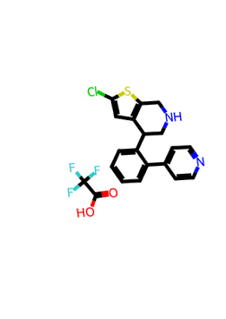 Clc1cc2c(s1)CNCC2c1ccccc1-c1ccncc1.O=C(O)C(F)(F)F